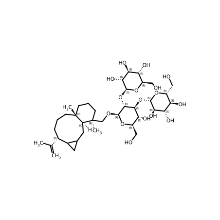 C=C(C)[C@@H]1CCC[C@]2(C)CCC[C@@](C)(CO[C@@H]3O[C@H](CO)[C@@H](O)[C@H](O[C@@H]4O[C@H](CO)[C@@H](O)[C@H](O)[C@H]4O)[C@H]3O[C@@H]3O[C@H](CO)[C@@H](O)[C@H](O)[C@H]3O)[C@H]2CC2CC21